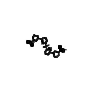 CC(C)(c1cccc(-c2cccc([N+](=O)[O-])c2)n1)c1cccc(-c2cccc([N+](=O)[O-])c2)n1